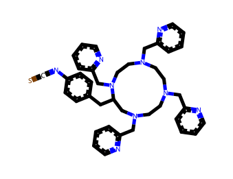 S=C=Nc1ccc(CC2CN(Cc3ccccn3)CCN(Cc3ccccn3)CCN(Cc3ccccn3)CCN2Cc2ccccn2)cc1